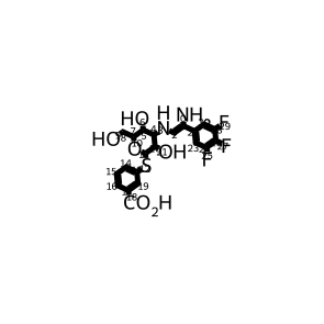 N/C(=C\NC1C(O)C(CO)OC(Sc2cccc(C(=O)O)c2)C1O)c1cc(F)c(F)c(F)c1